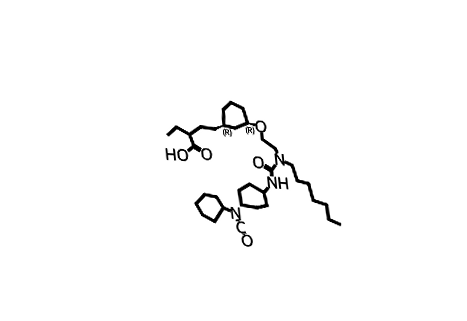 CCCCCCCN(CCO[C@@H]1CCC[C@H](CCC(CC)C(=O)O)C1)C(=O)NC1CCCCC1.O=C=NC1CCCCC1